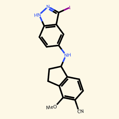 COc1c(C#N)ccc2c1CCC2Nc1ccc2[nH]nc(I)c2c1